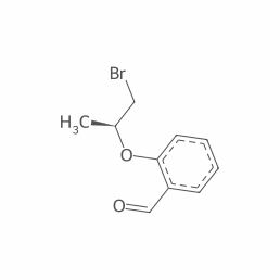 C[C@@H](CBr)Oc1ccccc1C=O